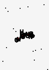 O=C(Cn1cnc2ccccc2c1=O)Nc1ccc(S(=O)(=O)NCCCN2CCOCC2)cc1